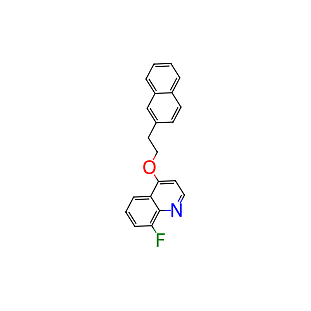 Fc1cccc2c(OCCc3ccc4ccccc4c3)ccnc12